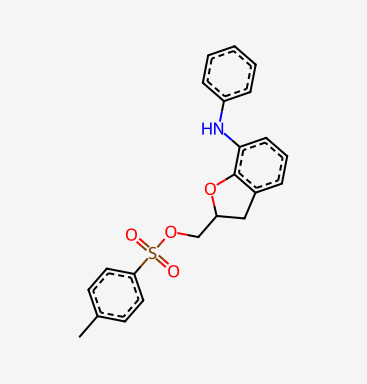 Cc1ccc(S(=O)(=O)OCC2Cc3cccc(Nc4ccccc4)c3O2)cc1